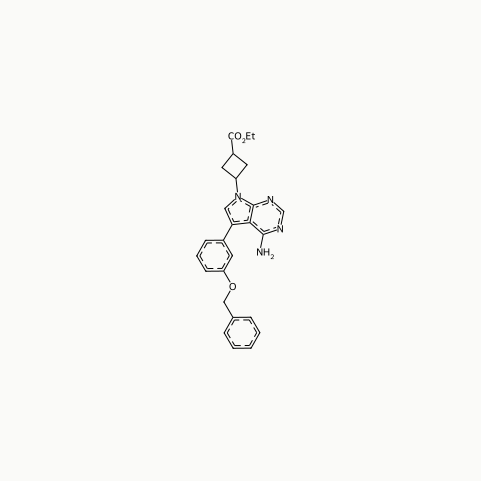 CCOC(=O)C1CC(n2cc(-c3cccc(OCc4ccccc4)c3)c3c(N)ncnc32)C1